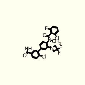 CN(C(=O)c1c(F)cccc1Cl)c1ccc(-c2cc(C(N)=O)ccc2Cl)cc1N1CC(F)(F)C1